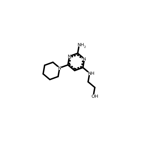 Nc1nc(NCCO)cc(N2CCCCC2)n1